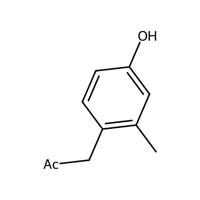 CC(=O)Cc1ccc(O)cc1C